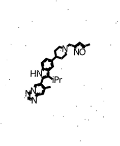 Cc1cc(CN2CCC(c3ccc4[nH]c(-c5cn6ncnc6cc5C)c(C(C)C)c4c3)CC2)no1